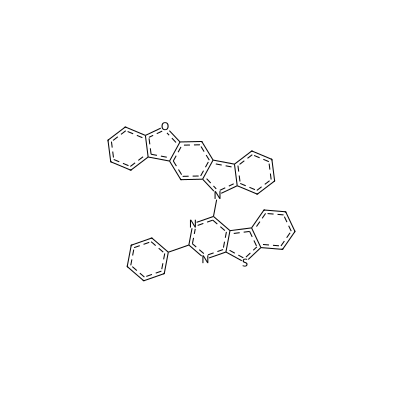 c1ccc(-c2nc(-n3c4ccccc4c4cc5oc6ccccc6c5cc43)c3c(n2)sc2ccccc23)cc1